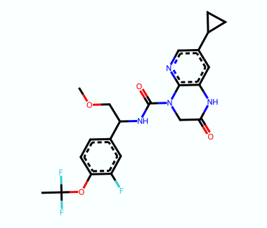 COCC(NC(=O)N1CC(=O)Nc2cc(C3CC3)cnc21)c1ccc(OC(C)(F)F)c(F)c1